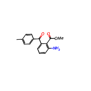 COC(=O)c1c(N)cccc1C(=O)c1ccc(C)cc1